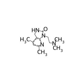 Cc1cc(C)c2c(n1)N(CCN(C)C)C(=O)NC2